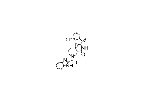 O=C(c1nc2ccccc2[nH]1)N1CCCc2nc(C3(c4cccc(Cl)c4)CC3)[nH]c(=O)c2C1